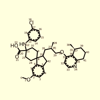 COc1ccc2c(c1)C1(CCC(Nc3cccc(Cl)c3)(C(=O)O)CC1)C(C[C@@H](C)COc1ccnc3c1[C@@H](C)CCC3)C2